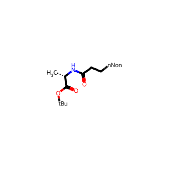 CCCCCCCCCCCC(=O)N[C@@H](C)C(=O)OC(C)(C)C